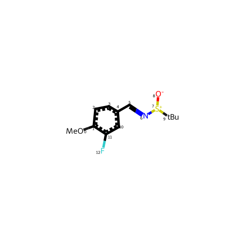 COc1ccc(/C=N/[S+]([O-])C(C)(C)C)cc1F